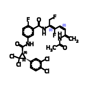 C=C(/C=C\C(F)=C(/CF)NC(=O)c1cc(NC(=O)[C@H]2[C@H](c3ccc(Cl)c(Cl)c3)C2(Cl)Cl)ccc1F)NC(C)=O